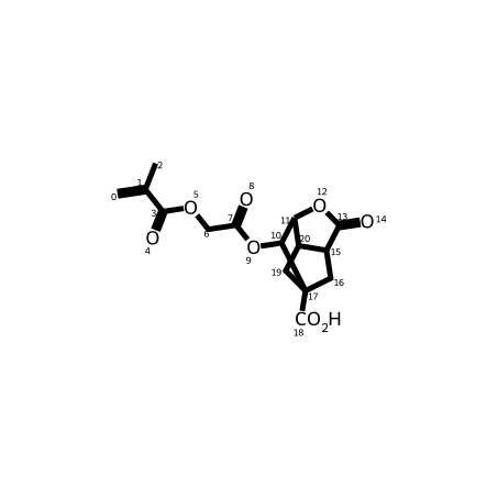 C=C(C)C(=O)OCC(=O)OC1C2OC(=O)C3CC1(C(=O)O)CC32